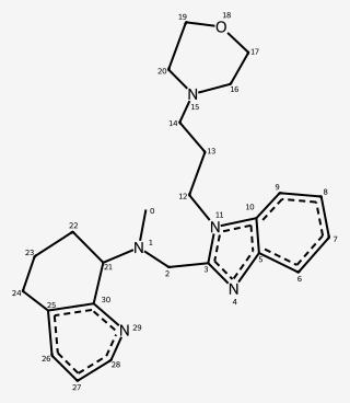 CN(Cc1nc2ccccc2n1CCCN1CCOCC1)C1CCCc2cccnc21